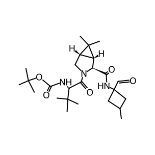 CC1CC(C=O)(NC(=O)[C@@H]2[C@@H]3[C@H](CN2C(=O)[C@@H](NC(=O)OC(C)(C)C)C(C)(C)C)C3(C)C)C1